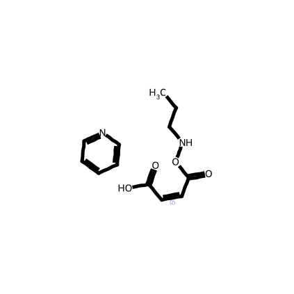 CCCNOC(=O)/C=C\C(=O)O.c1ccncc1